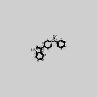 [O-][S+](c1ccccc1)N1CCC(c2c[nH]c3ccccc23)CC1